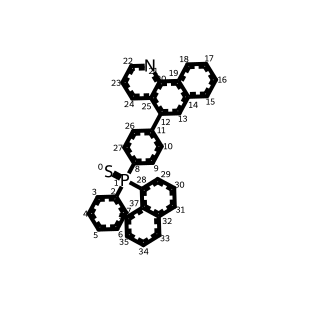 S=P(c1ccccc1)(c1ccc(-c2cc3ccccc3c3ncccc23)cc1)c1cccc2ccccc12